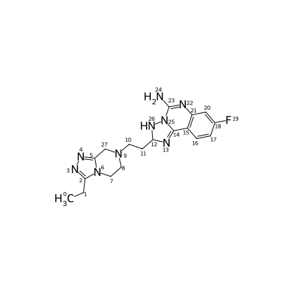 CCc1nnc2n1CCN(CCC1N=C3c4ccc(F)cc4N=C(N)N3N1)C2